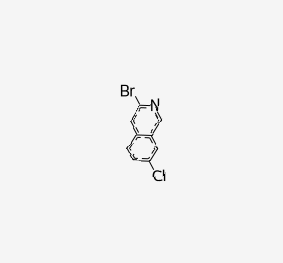 Clc1ccc2cc(Br)ncc2c1